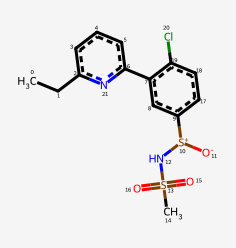 CCc1cccc(-c2cc([S+]([O-])NS(C)(=O)=O)ccc2Cl)n1